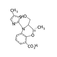 Cc1cnc(N2c3cccc(C(=O)O)c3O[C@@H](C)C2CO)s1